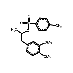 COc1ccc(CC(C)OS(=O)(=O)c2ccc(C)cc2)cc1OC